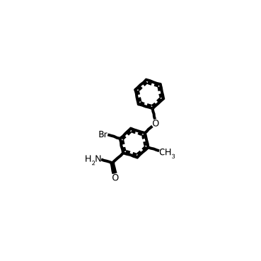 Cc1cc(C(N)=O)c(Br)cc1Oc1ccccc1